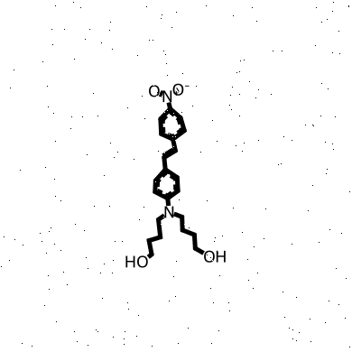 O=[N+]([O-])c1ccc(C=Cc2ccc(N(CCCCO)CCCCO)cc2)cc1